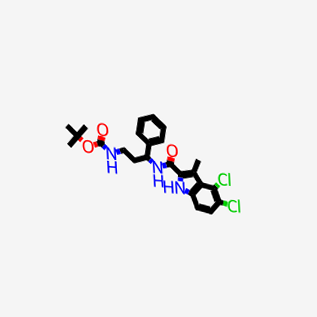 Cc1c(C(=O)NC(CCNC(=O)OC(C)(C)C)c2ccccc2)[nH]c2ccc(Cl)c(Cl)c12